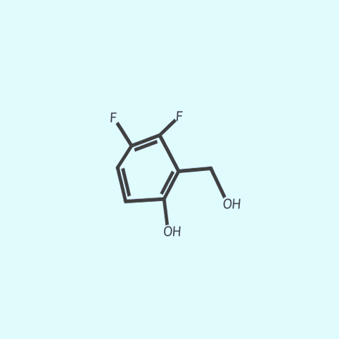 OCc1c(O)ccc(F)c1F